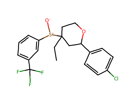 CCC1([S+]([O-])c2cccc(C(F)(F)F)c2)CCOC(c2ccc(Cl)cc2)C1